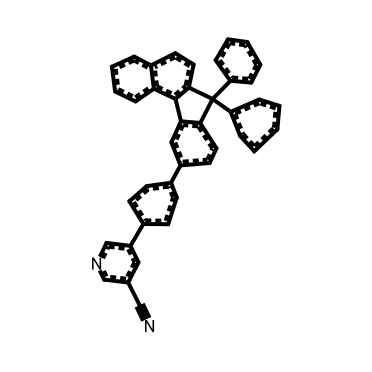 N#Cc1cncc(-c2ccc(-c3ccc4c(c3)-c3c(ccc5ccccc35)C4(c3ccccc3)c3ccccc3)cc2)c1